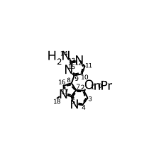 CCCOc1ccnc2c1c(-c1ccnc(N)n1)cn2C